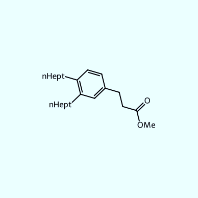 CCCCCCCc1ccc(CCC(=O)OC)cc1CCCCCCC